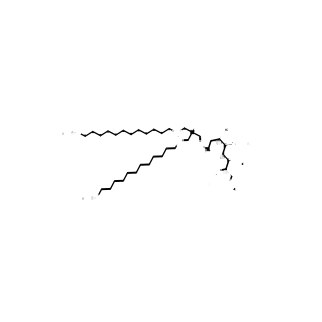 CCCCCCCCCCCCCCCCCCCCCCOCC(C)(COCCCCCCCCCCCCCCCCCCCCCC)CO[C@]1(C(=O)O)C[C@H](OS(=O)(=O)O)[C@@H](NC(C)=O)[C@H]([C@H](OS(=O)(=O)O)[C@@H](COS(=O)(=O)O)OS(=O)(=O)O)O1